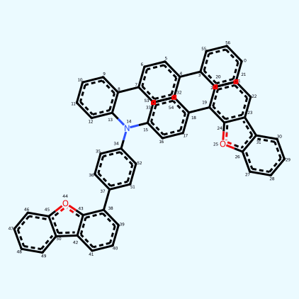 c1ccc(-c2ccc(-c3ccccc3N(c3ccc(-c4cccc5c4oc4ccccc45)cc3)c3ccc(-c4cccc5c4oc4ccccc45)cc3)cc2)cc1